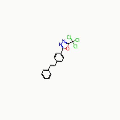 ClC(Cl)(Cl)c1nnc(-c2ccc(/C=C/c3ccccc3)cc2)o1